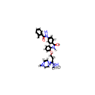 Cc1ccccc1C(=O)Nc1ccc(C(=O)N(C)c2ccccc2OCCC(NC=O)N2CCN(C)CC2)cc1